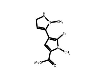 CCc1c(C2=CCNN2C)cc(C(=O)OC)n1C